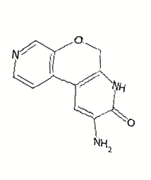 Nc1cc2c([nH]c1=O)COc1cnccc1-2